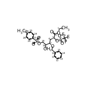 CCOC(=O)[C@H](CC(OCc1ccccc1)C(O)COS(=O)(=O)c1ccc(C)cc1)OS(=O)(=O)C(F)(F)F